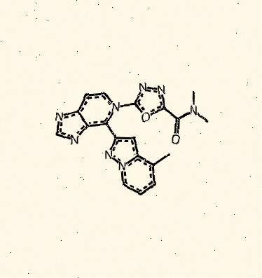 Cc1cccn2nc(-c3c4ncnc-4ccn3-c3nnc(C(=O)N(C)C)o3)cc12